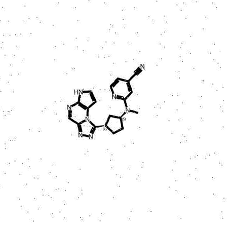 CN(c1cc(C#N)ccn1)[C@H]1CC[C@@H](c2nnc3cnc4[nH]ccc4n23)C1